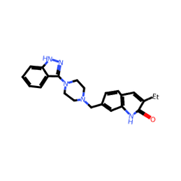 CCc1cc2ccc(CN3CCN(c4n[nH]c5ccccc45)CC3)cc2[nH]c1=O